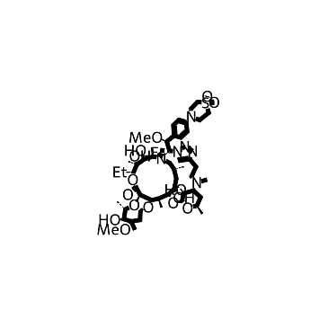 CC[C@H]1OC(=O)[C@H](C)[C@@H](O[C@H]2C[C@@](C)(OC)[C@@H](O)[C@H](C)O2)[C@H](C)[C@@H](O[C@@H]2O[C@H](C)C[C@H](N(C)CCc3cn([C@H](CF)[C@H](OC)c4ccc(N5CCS(=O)(=O)CC5)cc4)nn3)[C@H]2O)[C@](C)(O)C[C@@H](C)CN(C)[C@H](C)[C@@H](O)[C@]1(C)O